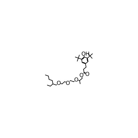 CCCCC(CC)COCCOCCOC(C)COC(=O)CCc1cc(C(C)(C)C)c(O)c(C(C)(C)C)c1